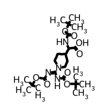 CC(C)(C)OC(=O)/N=C(\NC(=O)OC(C)(C)C)N1CCC(C(NC(=O)OC(C)(C)C)C(=O)O)CC1